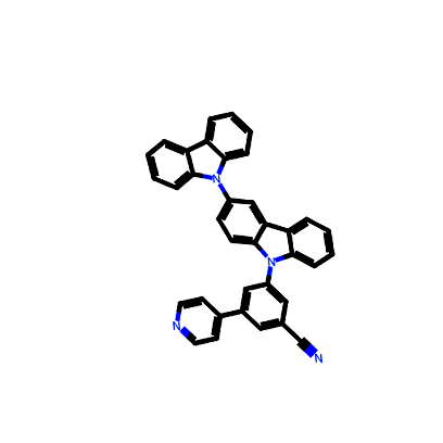 N#Cc1cc(-c2ccncc2)cc(-n2c3ccccc3c3cc(-n4c5ccccc5c5ccccc54)ccc32)c1